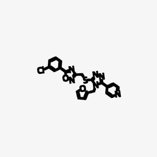 Clc1cccc(-c2nc(CSc3nnc(-c4ccncc4)n3Cc3ccco3)no2)c1